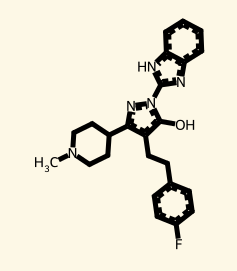 CN1CCC(c2nn(-c3nc4ccccc4[nH]3)c(O)c2CCc2ccc(F)cc2)CC1